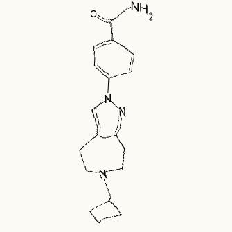 NC(=O)c1ccc(-n2cc3c(n2)CCN(C2CCC2)CC3)cc1